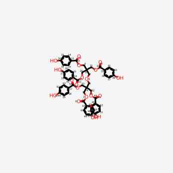 O=C(OCC(COCC(COC(=O)c1ccc(O)cc1)(COC(=O)c1ccc(O)cc1)COC(=O)c1ccc(O)cc1)(COC(=O)c1ccc(O)cc1)COC(=O)c1ccc(O)cc1)c1ccc(O)cc1